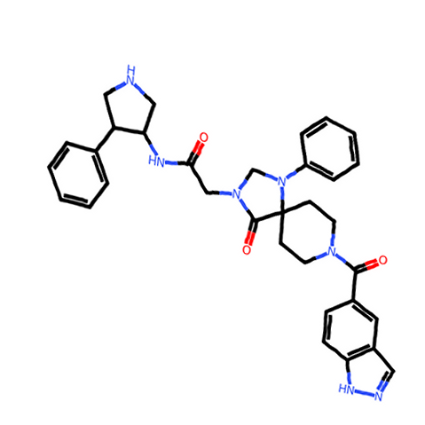 O=C(CN1CN(c2ccccc2)C2(CCN(C(=O)c3ccc4[nH]ncc4c3)CC2)C1=O)NC1CNCC1c1ccccc1